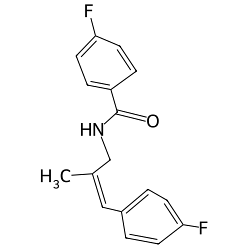 CC(=Cc1ccc(F)cc1)CNC(=O)c1ccc(F)cc1